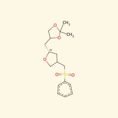 CC1(C)OCC(C[C@@H]2CC(CS(=O)(=O)c3ccccc3)CO2)O1